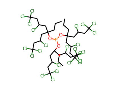 CCCC(CC(Cl)CC(Cl)(Cl)Cl)(CC(Cl)CC(Cl)(Cl)Cl)OP(OC(CCC)(CC(Cl)CC(Cl)(Cl)Cl)CC(Cl)CC(Cl)(Cl)Cl)OC(CCC)(CC(Cl)CC(Cl)(Cl)Cl)CC(Cl)CC(Cl)(Cl)Cl